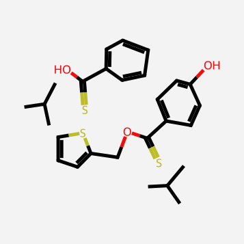 CC(C)C.CC(C)C.OC(=S)c1ccccc1.Oc1ccc(C(=S)OCc2cccs2)cc1